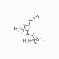 CC(C)CCCCC(C)(N)CCCC(C)(N)N